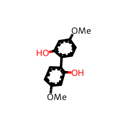 COc1ccc(-c2ccc(OC)cc2O)c(O)c1